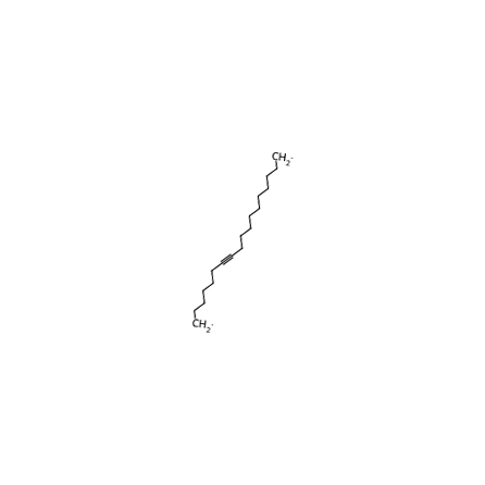 [CH2]CCCCCC#CCCCCCCCCC[CH2]